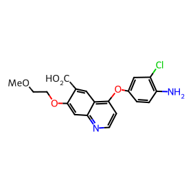 COCCOc1cc2nccc(Oc3ccc(N)c(Cl)c3)c2cc1C(=O)O